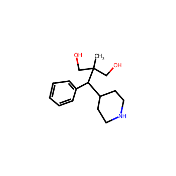 CC(CO)(CO)C(c1ccccc1)C1CCNCC1